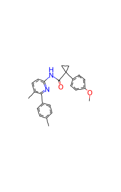 COc1ccc(C2(C(=O)Nc3ccc(C)c(-c4ccc(C)cc4)n3)CC2)cc1